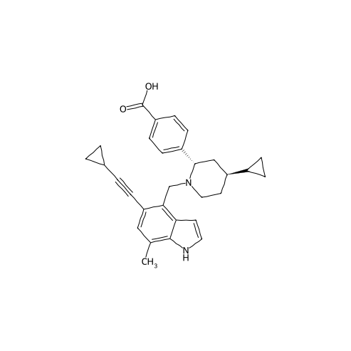 Cc1cc(C#CC2CC2)c(CN2CC[C@H](C3CC3)C[C@H]2c2ccc(C(=O)O)cc2)c2cc[nH]c12